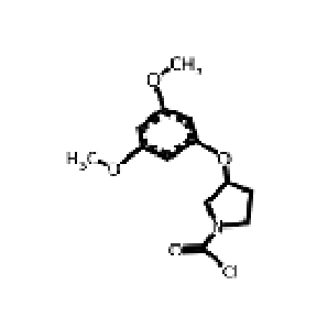 COc1cc(OC)cc(OC2CCN(C(=O)Cl)C2)c1